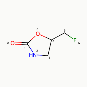 O=C1NCC(CF)O1